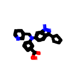 O=C(O)c1cccc(N(Cc2cccnc2)c2ccc3c(C4CCCC4)n[nH]c3c2)c1